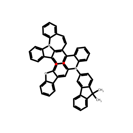 CC1(C)c2ccccc2-c2cc(N(c3ccc4oc5ccccc5c4c3)c3ccccc3-c3ccc4c5ccccc5n5c4c3C=Cc3ccccc3-5)ccc21